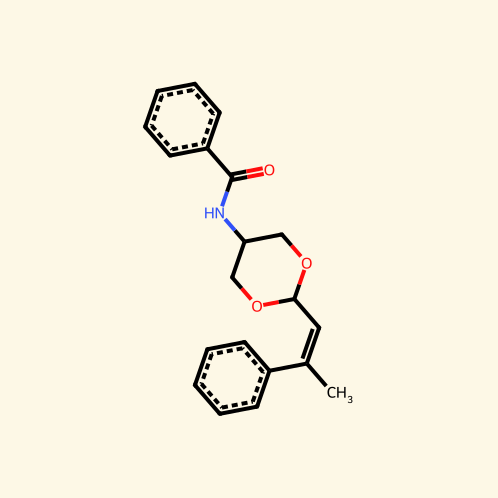 CC(=CC1OCC(NC(=O)c2ccccc2)CO1)c1ccccc1